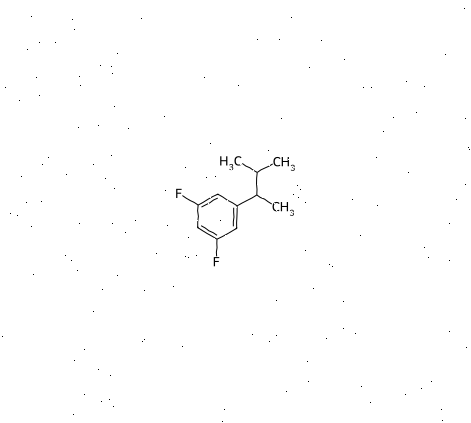 CC(C)C(C)c1cc(F)cc(F)c1